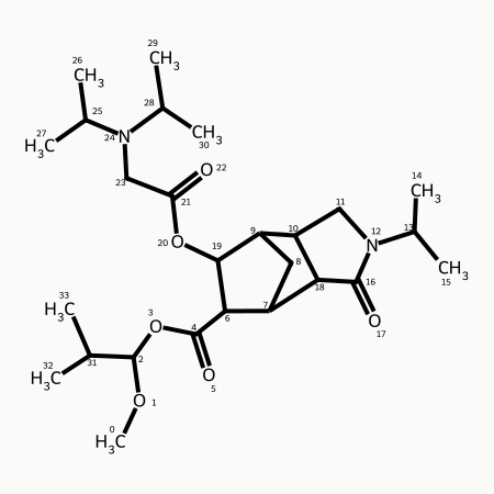 COC(OC(=O)C1C2CC(C3CN(C(C)C)C(=O)C32)C1OC(=O)CN(C(C)C)C(C)C)C(C)C